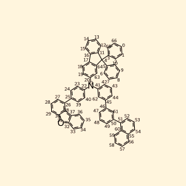 c1ccc(C2(c3ccccc3)c3ccccc3-c3ccc(N(c4ccc(-c5cccc6oc7ccccc7c56)cc4)c4cccc(-c5cccc(-c6cccc7ccccc67)c5)c4)cc32)cc1